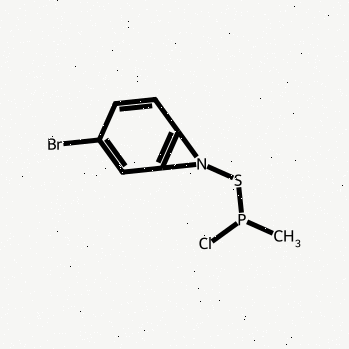 CP(Cl)SN1c2ccc(Br)cc21